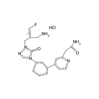 Cl.NC/C(=C\F)Cn1ncn(-c2cccc(-c3ccnc(CC(N)=O)c3)c2)c1=O